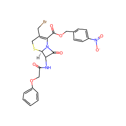 O=C(COc1ccccc1)NC1C(=O)N2C(C(=O)OCc3ccc([N+](=O)[O-])cc3)=C(CBr)CS[C@H]12